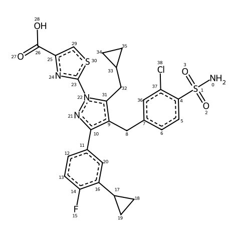 NS(=O)(=O)c1ccc(Cc2c(-c3ccc(F)c(C4CC4)c3)nn(-c3nc(C(=O)O)cs3)c2CC2CC2)cc1Cl